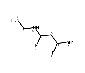 CCCC(F)CC(F)NCN